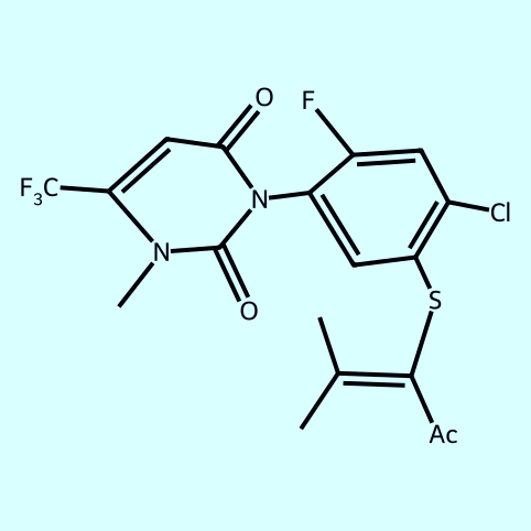 CC(=O)C(Sc1cc(-n2c(=O)cc(C(F)(F)F)n(C)c2=O)c(F)cc1Cl)=C(C)C